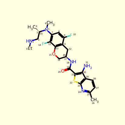 CCNC[C@H](C)N(C)c1cc(F)c2c(c1F)OC[C@H](NC(=O)c1sc3nc(C)ccc3c1N)C2